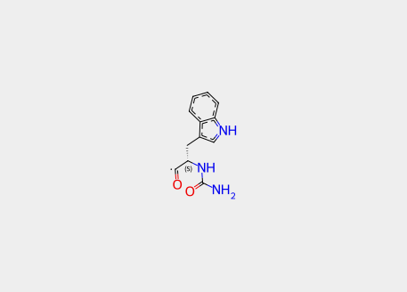 NC(=O)N[C@H]([C]=O)Cc1c[nH]c2ccccc12